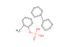 Cc1ccccc1OP(=O)(O)O.c1ccc(-c2ccccc2)cc1